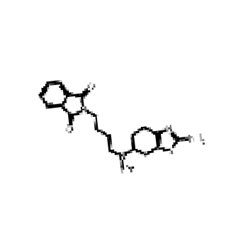 CCCN(CCCCN1C(=O)c2ccccc2C1=O)C1CCc2nc(N)sc2C1